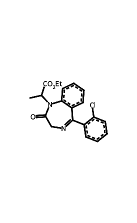 CCOC(=O)C(C)N1C(=O)CN=C(c2ccccc2Cl)c2ccccc21